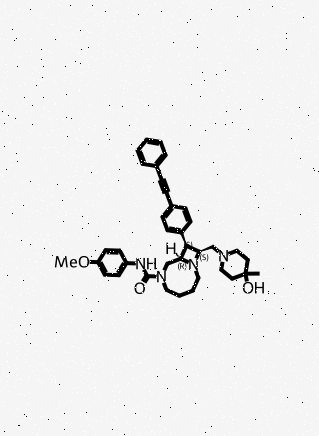 COc1ccc(NC(=O)N2CCCCN3[C@H](CN4CCC(C)(O)CC4)[C@H](c4ccc(C#Cc5ccccc5)cc4)[C@@H]3C2)cc1